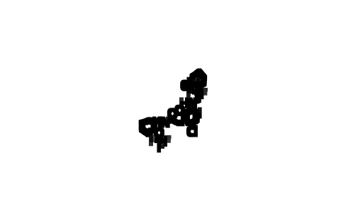 O=C(Cn1c(Cl)cnc(NCC(F)(F)c2cccc[n+]2[O-])c1=O)NCc1ccccc1OC(F)(F)F